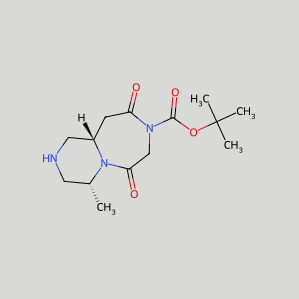 C[C@@H]1CNC[C@@H]2CC(=O)N(C(=O)OC(C)(C)C)CC(=O)N21